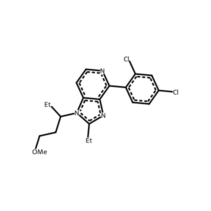 CCc1nc2c(-c3ccc(Cl)cc3Cl)nccc2n1C(CC)CCOC